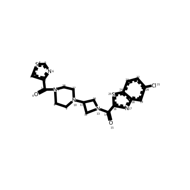 O=C(c1cscn1)N1CCN(C2CN(C(=O)c3nc4cc(Cl)ccc4s3)C2)CC1